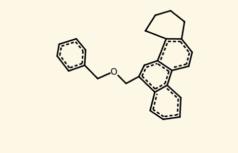 c1ccc(COCc2cc3c4c(ccc3c3ccccc23)CCCC4)cc1